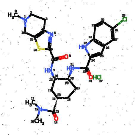 CN1CCc2nc(C(=O)N[C@@H]3C[C@@H](C(=O)N(C)C)CC[C@@H]3NC(=O)c3cc4cc(Cl)ccc4[nH]3)sc2C1.Cl